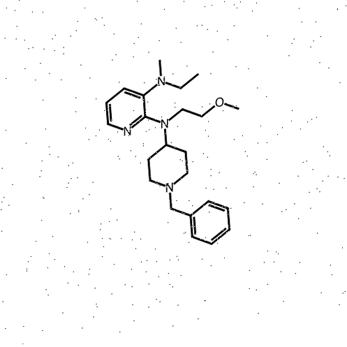 CCN(C)c1cccnc1N(CCOC)C1CCN(Cc2ccccc2)CC1